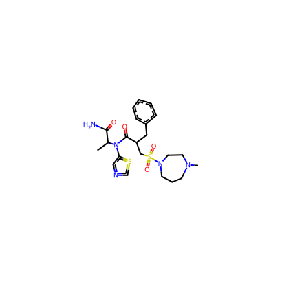 CC(C(N)=O)N(C(=O)C(Cc1ccccc1)CS(=O)(=O)N1CCCN(C)CC1)c1cncs1